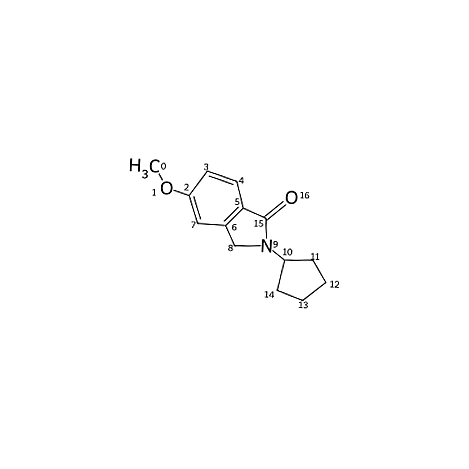 COc1ccc2c(c1)CN(C1CCCC1)C2=O